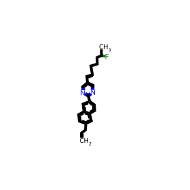 C=CCc1ccc2cc(-c3ncc(/C=C/CCCC(C)F)cn3)ccc2c1